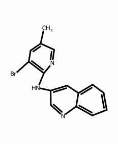 Cc1cnc(Nc2cnc3ccccc3c2)c(Br)c1